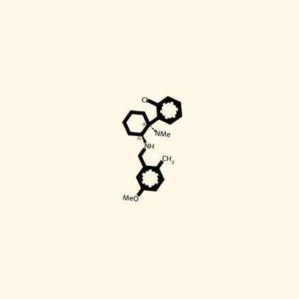 CN[C@@]1(c2ccccc2Cl)CCCC[C@@H]1NCc1cc(OC)ccc1C